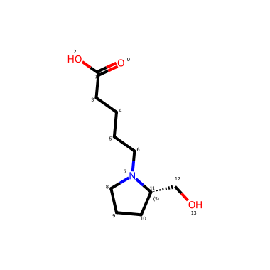 O=C(O)CCCCN1CCC[C@H]1CO